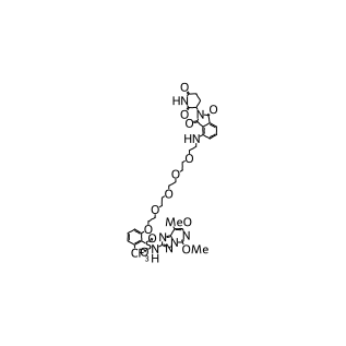 COc1cnc(OC)n2nc(NS(=O)(=O)c3c(OCCOCCOCCOCCOCCNc4cccc5c4C(=O)N(C4CCC(=O)NC4=O)C5=O)cccc3C(F)(F)F)nc12